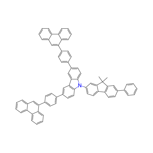 CC1(C)c2cc(-c3ccccc3)ccc2-c2ccc(-n3c4ccc(-c5ccc(-c6cc7ccccc7c7ccccc67)cc5)cc4c4cc(-c5ccc(-c6cc7ccccc7c7ccccc67)cc5)ccc43)cc21